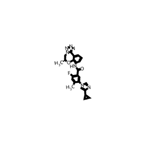 Cc1cc(F)c(C(=O)Nc2cccc3c2O[C@@H](C)Cn2nnnc2-3)cc1-n1cnc(C2CC2)c1